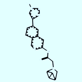 Cn1cc(-c2ccc3cnc(NC(=O)CN4CC5C6C5C64)cc3c2)nn1